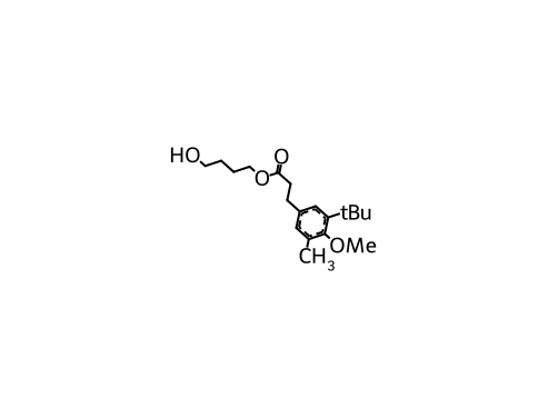 COc1c(C)cc(CCC(=O)OCCCCO)cc1C(C)(C)C